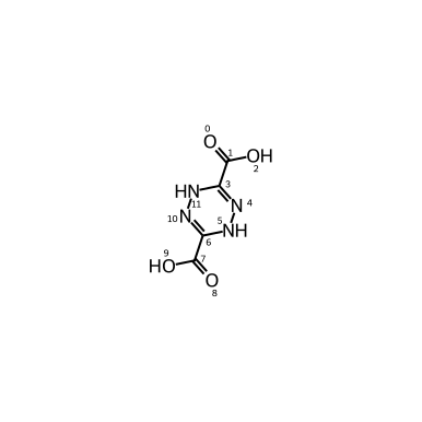 O=C(O)C1=NNC(C(=O)O)=NN1